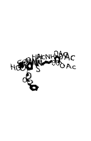 CO[C@H]1C(OP(O)(=S)OC)[C@@H](COC(=O)OCc2ccccc2)C[C@H]1NC(=S)NCCCCO[C@@H]1O[C@H](COC(C)=O)[C@H](OC(C)=O)[C@H](OC(C)=O)[C@H]1NC(C)=O